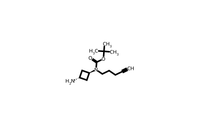 C#CCCCN(C(=O)OC(C)(C)C)[C@H]1C[C@H](N)C1